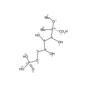 CC(C)(C)O[C@@](C(=O)O)(C(O)C(O)C(O)COP(=O)(O)O)C(C)(C)C